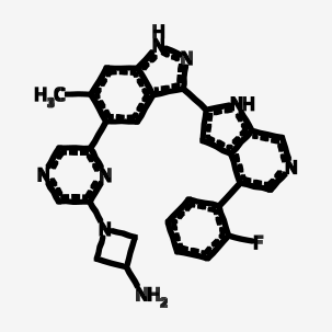 Cc1cc2[nH]nc(-c3cc4c(-c5ccccc5F)cncc4[nH]3)c2cc1-c1cncc(N2CC(N)C2)n1